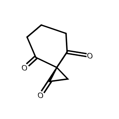 O=C1CCCC(=O)C12CC2=O